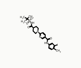 Cc1ccc(NC(=O)c2ccc(N3CCC(C(=O)NS(=O)(=O)C(C)(C)C)CC3)nc2)cc1I